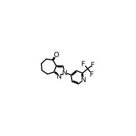 O=C1CCCCc2nn(-c3ccnc(C(F)(F)F)c3)cc21